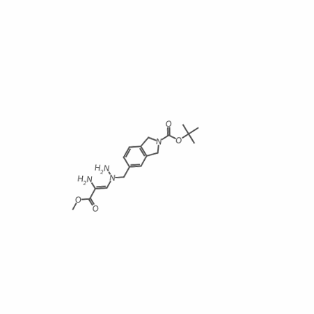 COC(=O)/C(N)=C/N(N)Cc1ccc2c(c1)CN(C(=O)OC(C)(C)C)C2